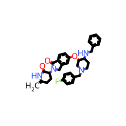 C=C1CCC(N2Cc3cc(OC4CN(Cc5ccc(F)cc5)CCC4NCc4ccccc4)ccc3C2=O)C(=O)N1